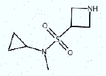 CN(C1CC1)S(=O)(=O)C1CNC1